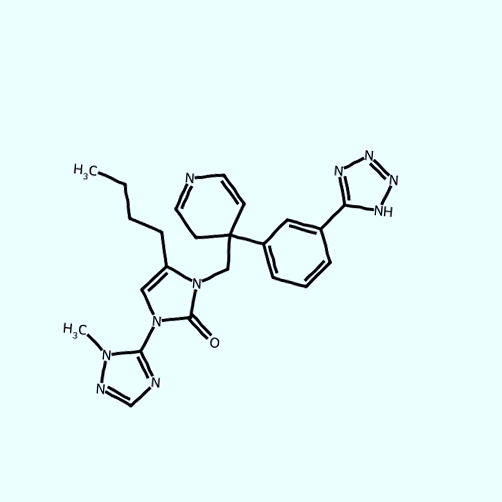 CCCCc1cn(-c2ncnn2C)c(=O)n1CC1(c2cccc(-c3nnn[nH]3)c2)C=CN=CC1